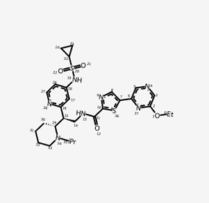 CCOc1cncc(-c2cnc(C(=O)NC[C@H](c3cc(NS(=O)(=O)C4CC4)ccn3)[C@H]3CCCCN3C(C)C)s2)n1